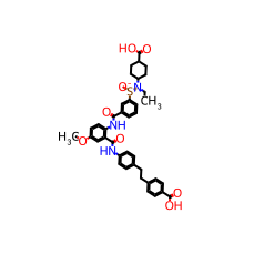 CCN(C1CCC(C(=O)O)CC1)[S+]([O-])c1cccc(C(=O)Nc2ccc(OC)cc2C(=O)Nc2ccc(CCc3ccc(C(=O)O)cc3)cc2)c1